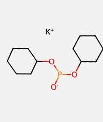 [K+].[O-]P(OC1CCCCC1)OC1CCCCC1